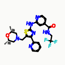 C[C@@H]1CN(Cc2sc(Nc3cc(C(=O)NCC(F)(F)F)ccn3)nc2-c2ccccn2)C[C@H](C)O1